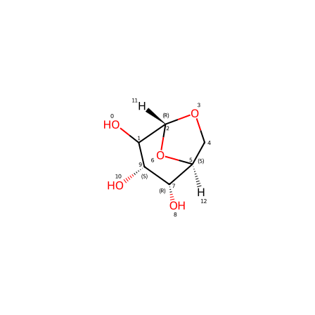 OC1[C@@H]2OC[C@H](O2)[C@H](O)[C@@H]1O